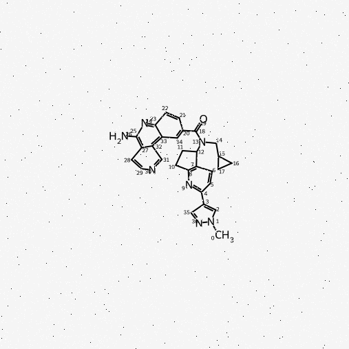 Cn1cc(-c2ccc3c(n2)CCC3N(CC2CC2)C(=O)c2ccc3nc(N)c4ccncc4c3c2)cn1